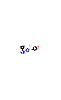 CS(=O)(=O)c1ccc(CNC2CCN(c3c[nH]nc3-c3cc(Br)c(O)cc3O)CC2)cc1